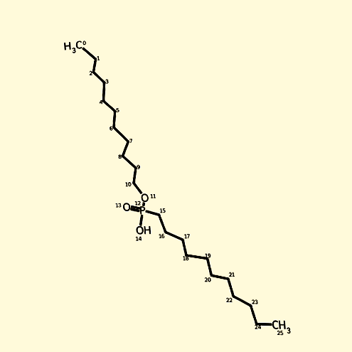 CCCCCCCCCCCOP(=O)(O)CCCCCCCCCCC